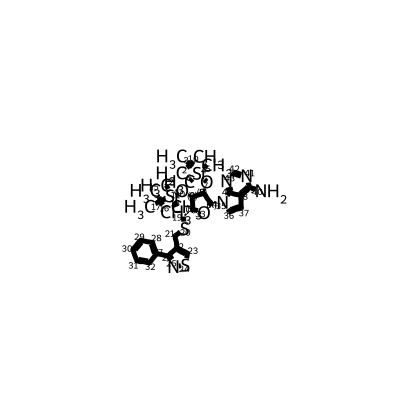 CC(C)(C)[Si](C)(C)O[C@@H]1[C@H](O[Si](C)(C)C(C)(C)C)[C@@H](CSCc2csnc2-c2ccccc2)O[C@H]1n1ccc2c(N)ncnc21